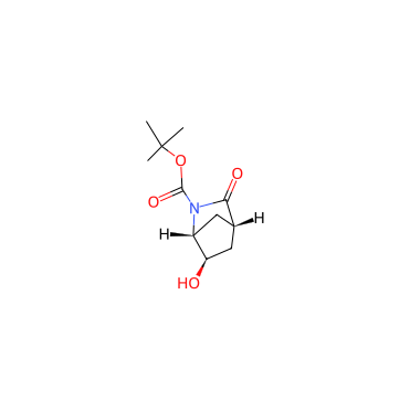 CC(C)(C)OC(=O)N1C(=O)[C@@H]2C[C@@H](O)[C@H]1C2